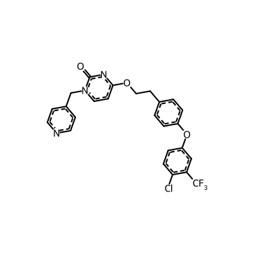 O=c1nc(OCCc2ccc(Oc3ccc(Cl)c(C(F)(F)F)c3)cc2)ccn1Cc1ccncc1